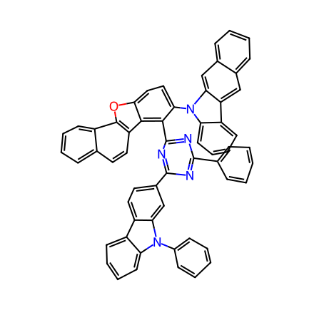 c1ccc(-c2nc(-c3ccc4c5ccccc5n(-c5ccccc5)c4c3)nc(-c3c(-n4c5ccccc5c5cc6ccccc6cc54)ccc4oc5c6ccccc6ccc5c34)n2)cc1